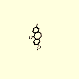 COc1ccc2c(c1)CCc1cc(C)ccc1C2=O